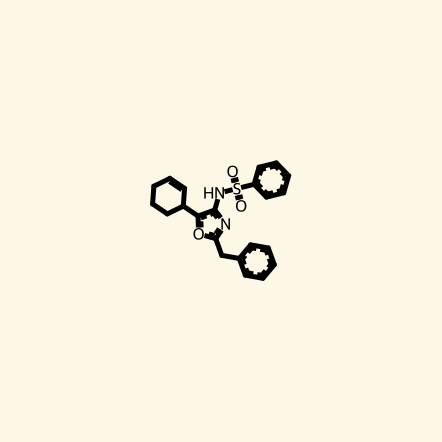 O=S(=O)(Nc1nc(Cc2ccccc2)oc1C1C=CCCC1)c1ccccc1